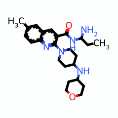 CCC(N)NC(=O)c1cc2cc(C)ccc2nc1N1CCC(NC2CCOCC2)CC1